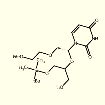 COCCOC[C@@H](OC(CO)CO[Si](C)(C)C(C)(C)C)n1ccc(=O)[nH]c1=O